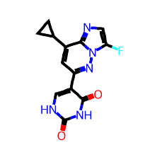 O=c1[nH]cc(-c2cc(C3CC3)c3ncc(F)n3n2)c(=O)[nH]1